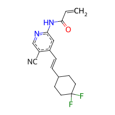 C=CC(=O)Nc1cc(C=CC2CCC(F)(F)CC2)c(C#N)cn1